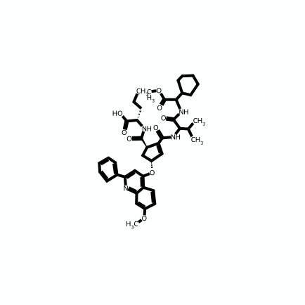 CCC[C@H](NC(=O)[C@@H]1C[C@@H](Oc2cc(-c3ccccc3)nc3cc(OC)ccc23)C=C1C(=O)NC(C(=O)NC(C(=O)OC)C1CCCCC1)C(C)C)C(=O)O